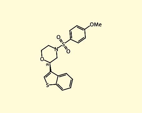 COc1ccc(S(=O)(=O)N2CCO[C@H](c3csc4ccccc34)C2)cc1